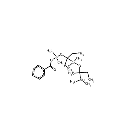 CCC(C)(O[Si](C)(C)C(CC)(CC)O[Si](C)(C)OC(=O)c1ccccc1)[SiH](C)C